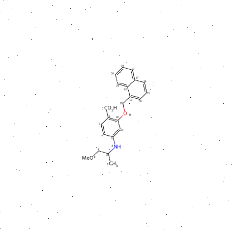 COCC(C)Nc1ccc(C(=O)O)c(OCc2cccc3ccccc23)c1